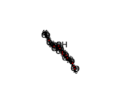 C=CC(=O)OCCCCOc1ccc(C(=O)Oc2ccc(/C=N/c3cc(O)c(OC(=O)c4ccc(OCCCCOC(=O)C=C)cc4)cc3Cl)cc2)cc1